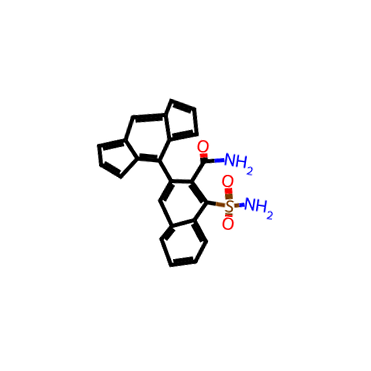 NC(=O)c1c(-c2c3c(cc4c2=CC=C4)=CC=C3)cc2ccccc2c1S(N)(=O)=O